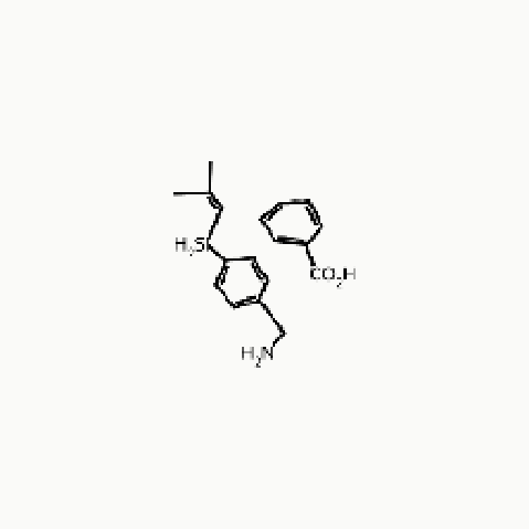 CC(C)=C[SiH2]c1ccc(CN)cc1.O=C(O)c1ccccc1